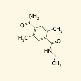 CCNC(=O)c1cc(C)c(C(N)=O)cc1C